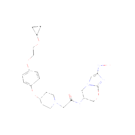 O=C(CN1CCC(Oc2ccc(OCCOC3CC3)cc2)CC1)NC1COc2nc(NO)cn2C1